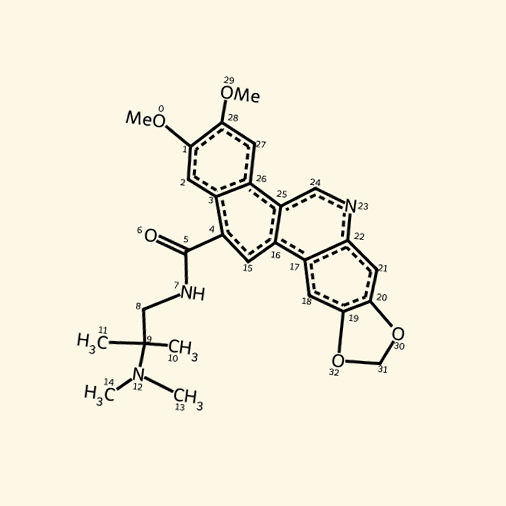 COc1cc2c(C(=O)NCC(C)(C)N(C)C)cc3c4cc5c(cc4ncc3c2cc1OC)OCO5